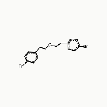 Brc1ccc(CCOCCc2ccc(Br)cc2)cc1